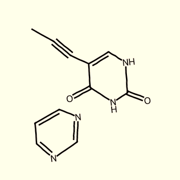 CC#Cc1c[nH]c(=O)[nH]c1=O.c1cncnc1